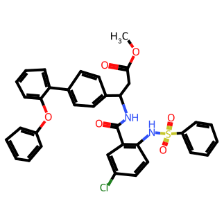 COC(=O)CC(NC(=O)c1cc(Cl)ccc1NS(=O)(=O)c1ccccc1)c1ccc(-c2ccccc2Oc2ccccc2)cc1